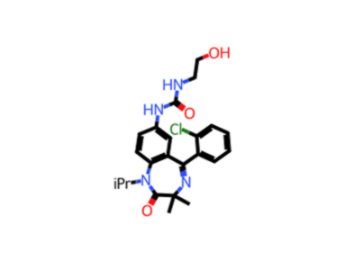 CC(C)N1C(=O)C(C)(C)N=C(c2ccccc2Cl)c2cc(NC(=O)NCCO)ccc21